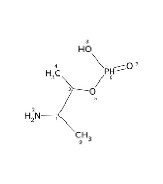 CC(N)C(C)O[PH](=O)O